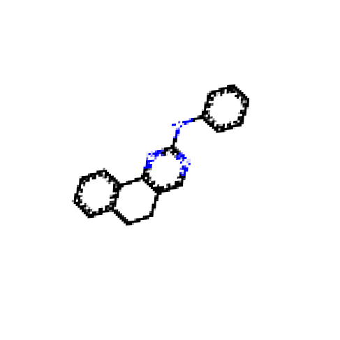 c1ccc(Nc2ncc3c(n2)-c2ccccc2CC3)cc1